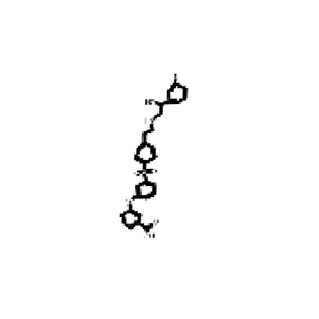 O=C(O)c1cccc(Oc2cccc(S(=O)(=O)c3ccc(CCNCC(O)c4cccc(Cl)c4)cc3)c2)c1